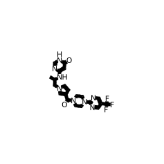 CC(Cn1ccc(C(=O)N2CCN(c3ncc(C(F)(F)F)cn3)CC2)c1)Nc1cc(=O)[nH]cn1